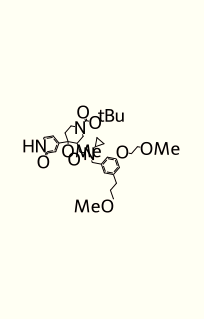 COCCCc1cc(CN(C(=O)C2CN(C(=O)OC(C)(C)C)CCC2(OC)c2cc[nH]c(=O)c2)C2CC2)cc(OCCOC)c1